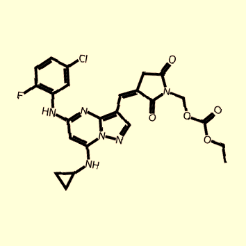 CCOC(=O)OCN1C(=O)CC(=Cc2cnn3c(NC4CC4)cc(Nc4cc(Cl)ccc4F)nc23)C1=O